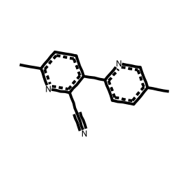 Cc1ccc(-c2ccc(C)nc2C#N)nc1